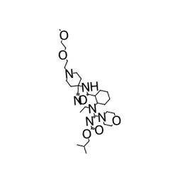 CCN(C(=NC(=O)OCC(C)C)N1CCOCC1)C1CCCCC1C(=O)NC1(C#N)CCN(CCOCCOC)CC1